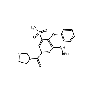 CCCCNc1cc(C(=S)N2CCSC2)cc(S(N)(=O)=O)c1Oc1ccccc1